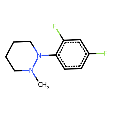 CN1CCCCN1c1ccc(F)cc1F